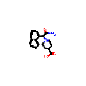 NC(=O)C(c1cccc2ccccc12)N1CCC(C(=O)O)CC1